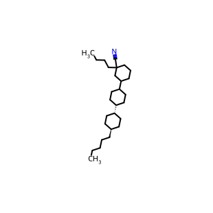 CCCCC[C@H]1CC[C@H](C2CCC(C3CCCC(C#N)(CCCC)C3)CC2)CC1